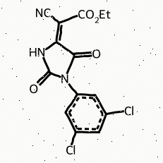 CCOC(=O)C(C#N)=C1NC(=O)N(c2cc(Cl)cc(Cl)c2)C1=O